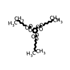 CC(C)CCCCCOC(=O)OC1CC(OC(=O)OCCCCCC(C)C)CC(OC(=O)OCCCCCC(C)C)C1